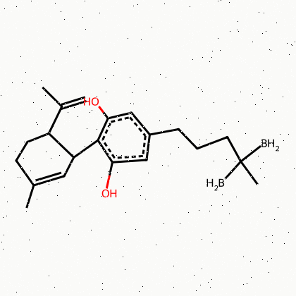 BC(B)(C)CCCc1cc(O)c(C2C=C(C)CCC2C(=C)C)c(O)c1